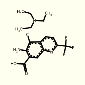 CCN(CC)CC.Nc1c(C(=O)O)cc2nc(C(F)(F)F)ccc2c1Cl